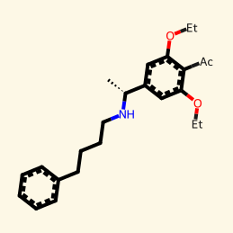 CCOc1cc([C@@H](C)NCCCCc2ccccc2)cc(OCC)c1C(C)=O